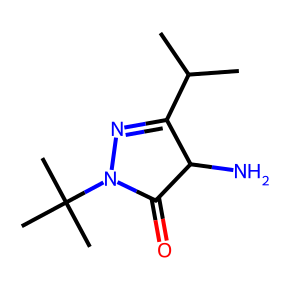 CC(C)C1=NN(C(C)(C)C)C(=O)C1N